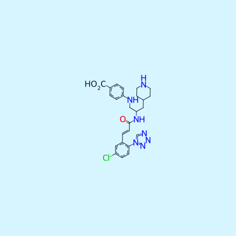 O=C(/C=C/c1cc(Cl)ccc1-n1cnnn1)NC(CNc1ccc(C(=O)O)cc1)CC1CCNCC1